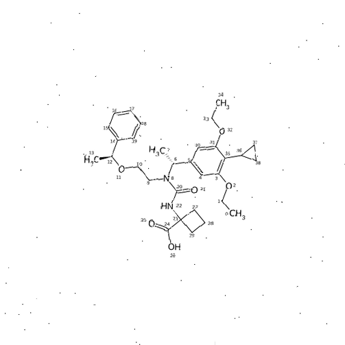 CCOc1cc([C@@H](C)N(CCO[C@@H](C)c2ccccc2)C(=O)NC2(C(=O)O)CCC2)cc(OCC)c1C1CC1